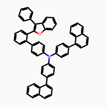 c1ccc(-c2c(-c3ccccc3-c3ccc(N(c4ccc(-c5cccc6ccccc56)cc4)c4ccc(-c5cccc6ccccc56)cc4)cc3)oc3ccccc23)cc1